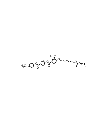 C=CC(=O)OCCCCCCCOc1ccc(C(=O)Oc2ccc(C(=O)Oc3ccc(CC)cc3)cc2)cc1C